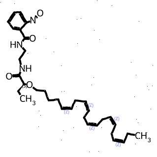 CC/C=C\C/C=C\C/C=C\C/C=C\C/C=C\CCCCO[C@@H](CC)C(=O)NCCNC(=O)c1ccccc1N=O